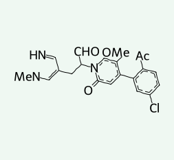 CN/C=C(\C=N)CC(C=O)n1cc(OC)c(-c2cc(Cl)ccc2C(C)=O)cc1=O